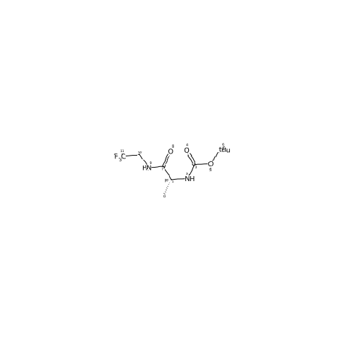 C[C@@H](NC(=O)OC(C)(C)C)C(=O)NCC(F)(F)F